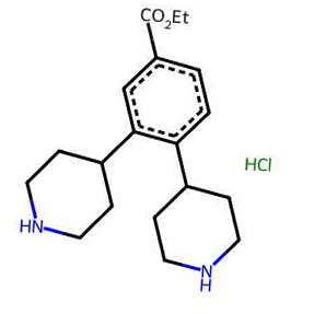 CCOC(=O)c1ccc(C2CCNCC2)c(C2CCNCC2)c1.Cl